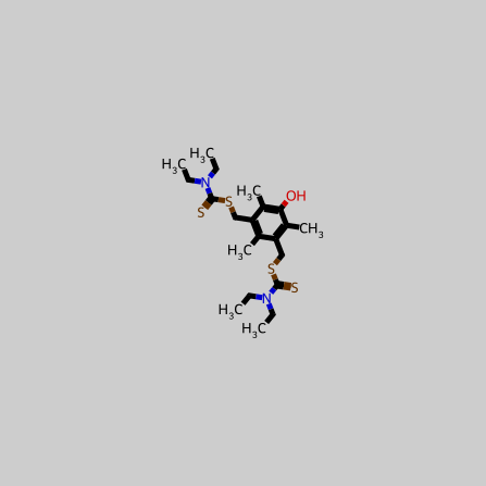 CCN(CC)C(=S)SCc1c(C)c(O)c(C)c(CSC(=S)N(CC)CC)c1C